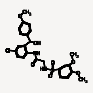 COc1ccc(C(O)c2cc(Cl)ccc2NC(=O)CNS(=O)(=O)c2ccc(OC)c(OC)c2)cc1